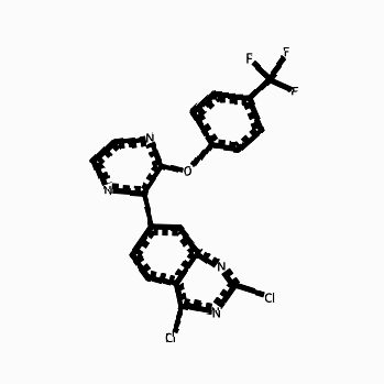 FC(F)(F)c1ccc(Oc2nccnc2-c2ccc3c(Cl)nc(Cl)nc3c2)cc1